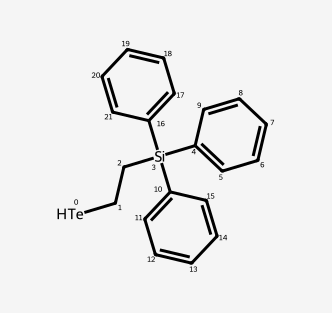 [TeH]CC[Si](c1ccccc1)(c1ccccc1)c1ccccc1